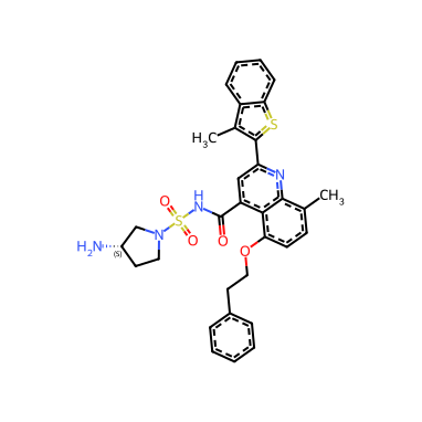 Cc1c(-c2cc(C(=O)NS(=O)(=O)N3CC[C@H](N)C3)c3c(OCCc4ccccc4)ccc(C)c3n2)sc2ccccc12